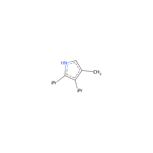 Cc1c[nH]c(C(C)C)c1C(C)C